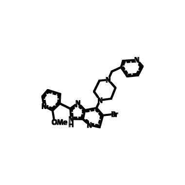 COc1ncccc1-c1nc2c(N3CCN(Cc4cccnc4)CC3)c(Br)cnc2[nH]1